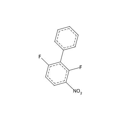 O=[N+]([O-])c1ccc(F)c(-c2ccccc2)c1F